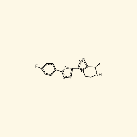 C[C@H]1NCCn2c(-c3csc(-c4ccc(F)cc4)n3)nnc21